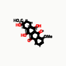 COc1cccc2c1C(=O)c1c(O)c3c(c(O)c1C2=O)C[C@@](O)(C(=O)O)CC3